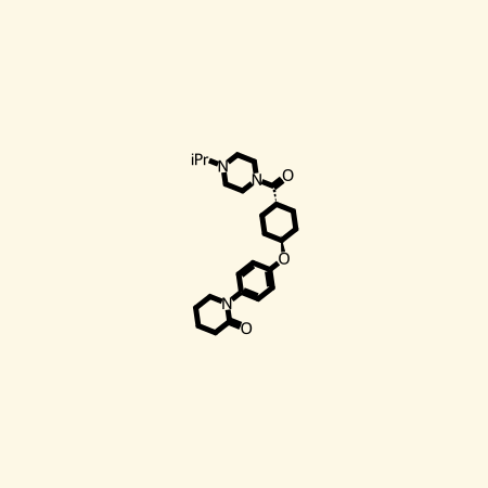 CC(C)N1CCN(C(=O)[C@H]2CC[C@H](Oc3ccc(N4CCCCC4=O)cc3)CC2)CC1